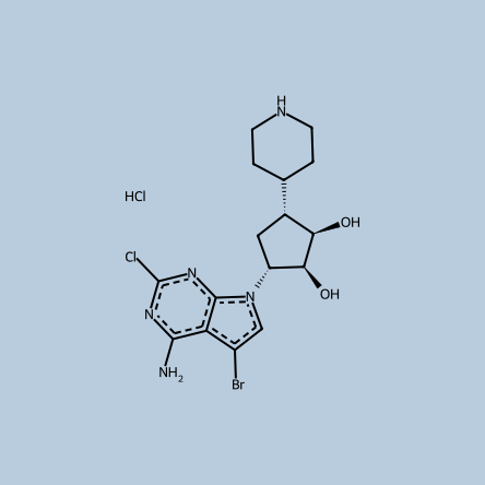 Cl.Nc1nc(Cl)nc2c1c(Br)cn2[C@@H]1C[C@H](C2CCNCC2)[C@@H](O)[C@H]1O